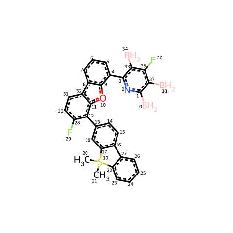 Bc1nc(-c2cccc3c2oc2c(-c4ccc5c(c4)S(C)(C)c4ccccc4-5)c(F)ccc23)c(B)c(F)c1B